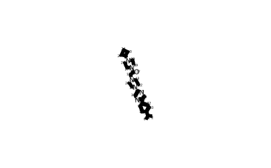 CC(C)c1ccc(-c2cnc(N3CCN(CC(=O)N4CCN(C5CCC5)CC4)CC3)cn2)cc1